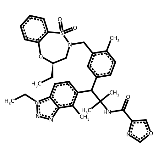 CC[C@@H]1CN(Cc2cc(C(c3ccc4c(nnn4CC)c3C)C(C)(C)NC(=O)c3cocn3)ccc2C)S(=O)(=O)c2ccccc2O1